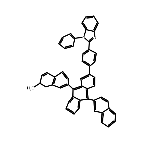 CC1C=Cc2ccc(-c3c4ccccc4c(-c4ccc5ccccc5c4)c4ccc(-c5ccc(-c6nc7ccccc7n6-c6ccccc6)cc5)cc34)cc2C1